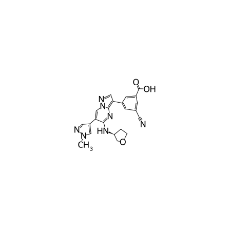 Cn1cc(-c2cn3ncc(-c4cc(C#N)cc(C(=O)O)c4)c3nc2N[C@H]2CCOC2)cn1